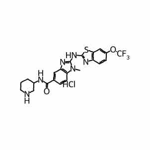 Cl.Cn1c(Nc2nc3ccc(OC(F)(F)F)cc3s2)nc2cc(C(=O)NC3CCCNC3)ccc21